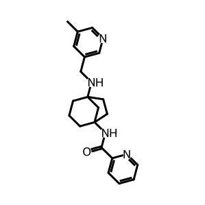 Cc1cncc(CNC23CCCC(NC(=O)c4ccccn4)(CC2)C3)c1